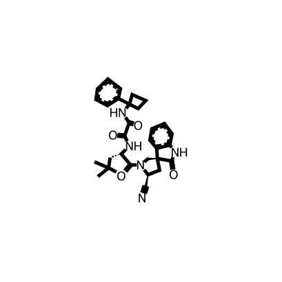 CC(C)(C)C[C@H](NC(=O)C(=O)NC1(c2ccccc2)CCC1)C(=O)N1C[C@]2(C[C@H]1C#N)C(=O)Nc1ccccc12